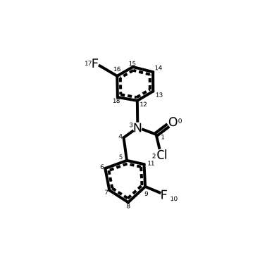 O=C(Cl)N(Cc1cccc(F)c1)c1cccc(F)c1